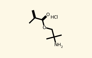 C=C(C)C(=O)OCC(C)(C)N.Cl